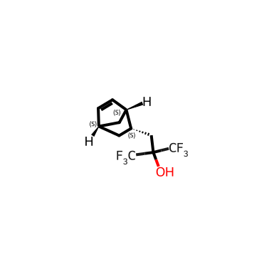 OC(C[C@@H]1C[C@@H]2C=C[C@H]1C2)(C(F)(F)F)C(F)(F)F